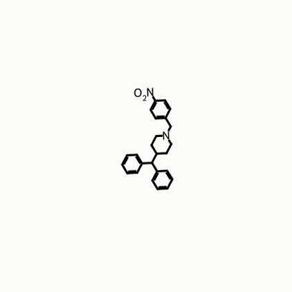 O=[N+]([O-])c1ccc(CN2CCC(C(c3ccccc3)c3ccccc3)CC2)cc1